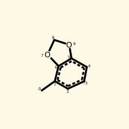 Cc1c[c]cc2c1OCO2